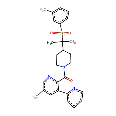 CC(C)(C1CCN(C(=O)c2ncc(C(F)(F)F)cc2-c2ccccn2)CC1)S(=O)(=O)c1cccc(C(F)(F)F)c1